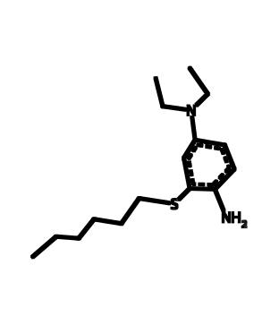 CCCCCCSc1cc(N(CC)CC)ccc1N